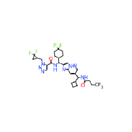 O=C(CCC(F)(F)F)NC(c1cnn2cc([C@@H](NC(=O)c3cnnn3CC3CC3(F)F)C3CCC(F)(F)CC3)nc2c1)C1CCC1